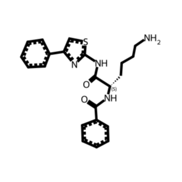 NCCCC[C@H](NC(=O)c1ccccc1)C(=O)Nc1nc(-c2ccccc2)cs1